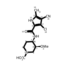 CO[C@H]1CN(C(=O)O)CC[C@H]1NC(=O)c1[nH]c(C)c(C#N)c1Cl